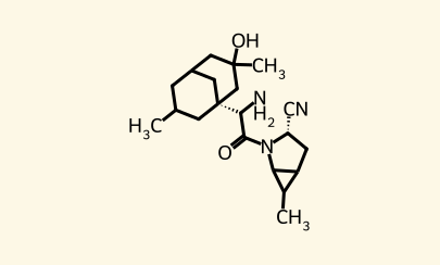 CC1CC2CC(C)(O)C[C@@](C(N)C(=O)N3C4C(C)C4C[C@H]3C#N)(C1)C2